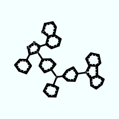 c1ccc(-c2nnc(-c3cccc4cccnc34)n2-c2ccc(N(c3ccccc3)c3ccc(-n4c5ccccc5c5ccccc54)cc3)cc2)cc1